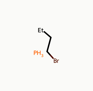 CCCCBr.P